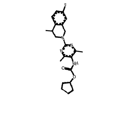 Cc1nc(N2Cc3cc(F)ccc3C(C)C2)nc(C)c1NC(=O)OC1CCCC1